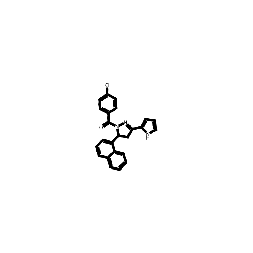 O=C(c1ccc(Cl)cc1)N1N=C(c2ccc[nH]2)CC1c1cccc2ccccc12